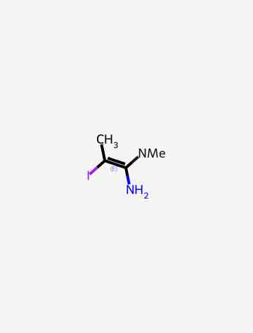 CN/C(N)=C(\C)I